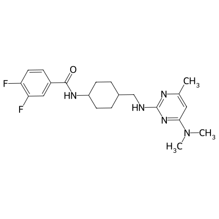 Cc1cc(N(C)C)nc(NCC2CCC(NC(=O)c3ccc(F)c(F)c3)CC2)n1